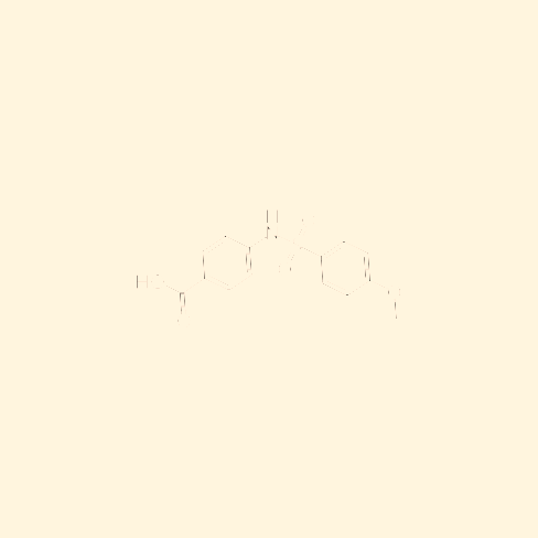 COc1ccc(S(=O)(=O)Nc2ccc(C(=O)O)cc2)cc1